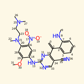 C=C(c1ccccc1NC)c1nc(Nc2cc([N+](=O)[O-])c(N(C)CCN(C)C)cc2OC)ncc1C#N